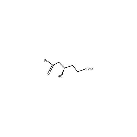 CCCCCCC[C@@H](O)CC(=O)C(C)C